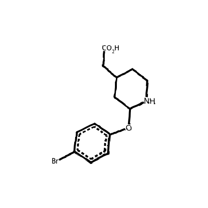 O=C(O)CC1CCNC(Oc2ccc(Br)cc2)C1